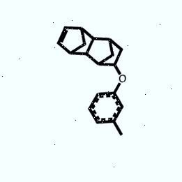 Cc1cccc(OC2CC3CC2C2C4C=CC(C4)C32)c1